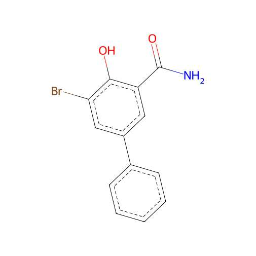 NC(=O)c1cc(-c2ccccc2)cc(Br)c1O